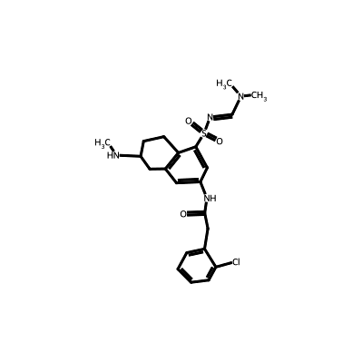 CNC1CCc2c(cc(NC(=O)Cc3ccccc3Cl)cc2S(=O)(=O)/N=C/N(C)C)C1